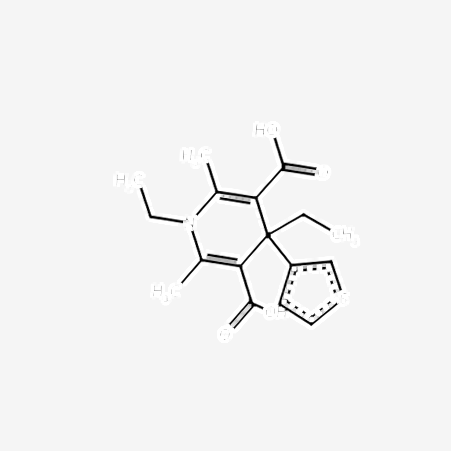 CCN1C(C)=C(C(=O)O)C(CC)(c2ccsc2)C(C(=O)O)=C1C